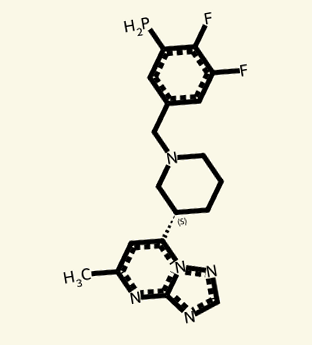 Cc1cc([C@H]2CCCN(Cc3cc(F)c(F)c(P)c3)C2)n2ncnc2n1